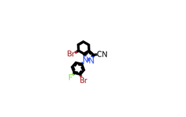 N#Cc1nn(-c2ccc(F)c(Br)c2)c2c1CCCC2Br